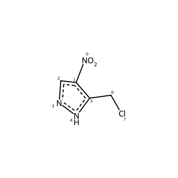 O=[N+]([O-])c1cn[nH]c1CCl